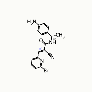 C[C@H](NC(=O)/C(C#N)=C/c1cccc(Br)n1)c1ccc(N)cc1